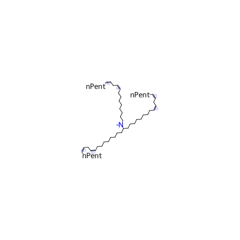 CCCCC/C=C\C/C=C\CCCCCCCCC(CCCCCCCC/C=C\C/C=C\CCCCC)N(C)CCCCCCCC/C=C\C/C=C\CCCCC